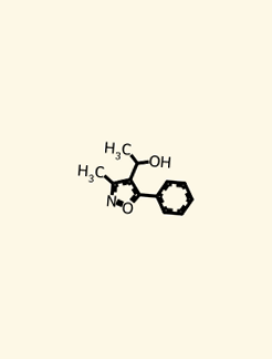 Cc1noc(-c2ccccc2)c1C(C)O